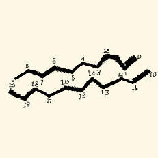 C=CCCCCCCCC.C=CCCCCCCCCC